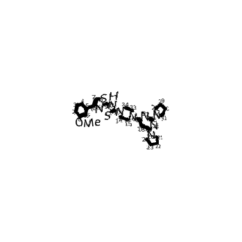 COc1cccc(-c2csc(NC(=S)N3CCN(c4cc(N5CCCC5)nc(N5CCCC5)n4)CC3)n2)c1